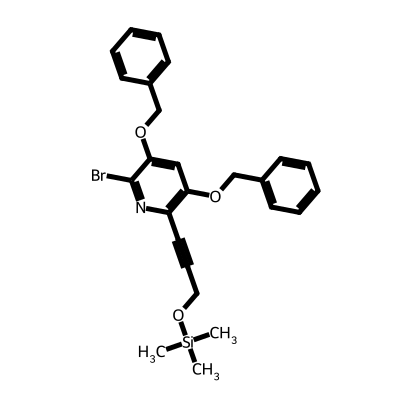 C[Si](C)(C)OCC#Cc1nc(Br)c(OCc2ccccc2)cc1OCc1ccccc1